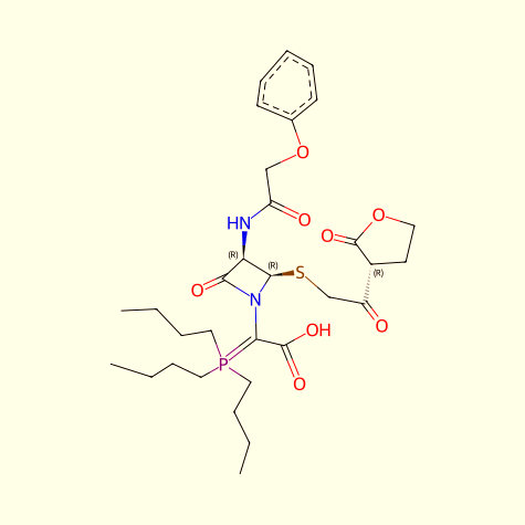 CCCCP(CCCC)(CCCC)=C(C(=O)O)N1C(=O)[C@@H](NC(=O)COc2ccccc2)[C@H]1SCC(=O)[C@H]1CCOC1=O